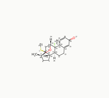 CCS[C@]12C[C@H]3O[C@]1(C)CC[C@H]2[C@@H]1CCC2=CC(=O)C=C[C@]2(C)C31F